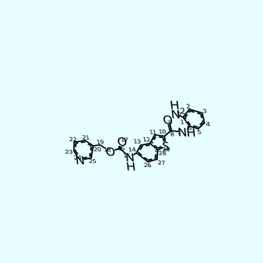 Nc1ccccc1NC(=O)c1cc2cc(NC(=O)OCc3cccnc3)ccc2s1